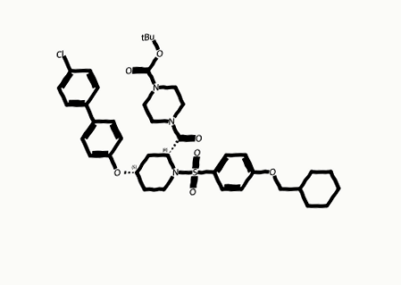 CC(C)(C)OC(=O)N1CCN(C(=O)[C@H]2C[C@@H](Oc3ccc(-c4ccc(Cl)cc4)cc3)CCN2S(=O)(=O)c2ccc(OCC3CCCCC3)cc2)CC1